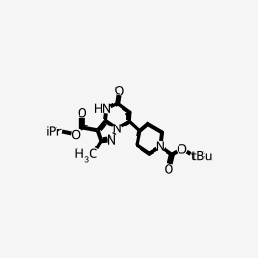 Cc1nn2c(C3CCN(C(=O)OC(C)(C)C)CC3)cc(=O)[nH]c2c1C(=O)OC(C)C